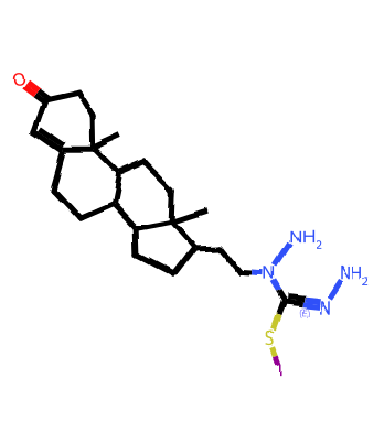 CC12CCC(=O)C=C1CCC1C2CCC2(C)C(CCN(N)/C(=N\N)SI)CCC12